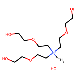 C[N+](CCOCCO)(CCOCCO)CCOCCO.[OH-]